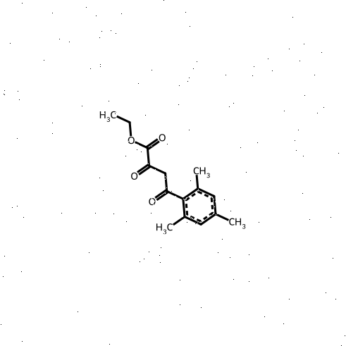 CCOC(=O)C(=O)CC(=O)c1c(C)cc(C)cc1C